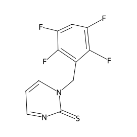 Fc1cc(F)c(F)c(Cn2cccnc2=S)c1F